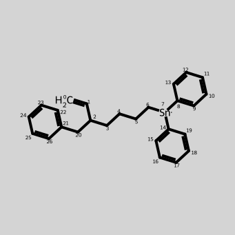 C=CC(CCC[CH2][Sn]([c]1ccccc1)[c]1ccccc1)Cc1ccccc1